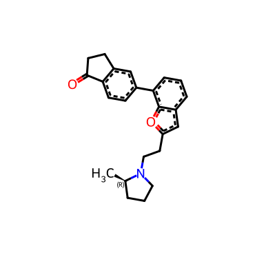 C[C@@H]1CCCN1CCc1cc2cccc(-c3ccc4c(c3)CCC4=O)c2o1